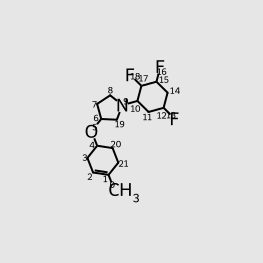 CC1=CCC(OC2CCN(C3CC(F)CC(F)C3F)C2)CC1